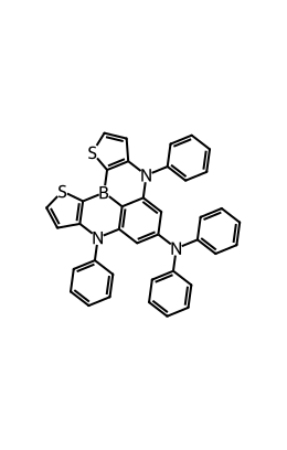 c1ccc(N(c2ccccc2)c2cc3c4c(c2)N(c2ccccc2)c2ccsc2B4c2sccc2N3c2ccccc2)cc1